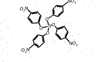 O=[N+]([O-])c1ccc([O][Ti]([O]c2ccc([N+](=O)[O-])cc2)([O]c2ccc([N+](=O)[O-])cc2)[O]c2ccc([N+](=O)[O-])cc2)cc1